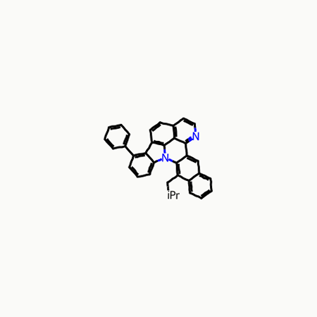 CC(C)Cc1c2ccccc2cc2c3nccc4ccc5c6c(-c7ccccc7)cccc6n(c12)c5c43